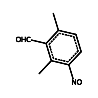 Cc1ccc(N=O)c(C)c1C=O